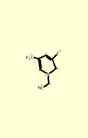 N#CCN1C=C(C(F)(F)F)C=C(F)C1